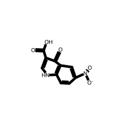 O=C(O)c1c[nH]c2ccc([N+](=O)[O-])cc2c1=O